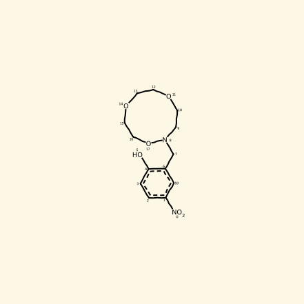 O=[N+]([O-])c1ccc(O)c(CN2CCOCCOCCO2)c1